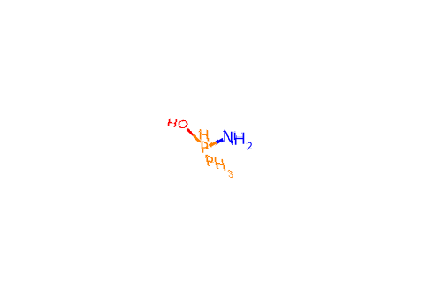 NPO.P